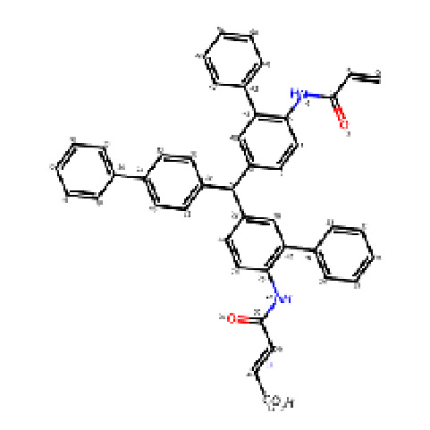 C=CC(=O)Nc1ccc(C(c2ccc(-c3ccccc3)cc2)c2ccc(NC(=O)/C=C/C(=O)O)c(-c3ccccc3)c2)cc1-c1ccccc1